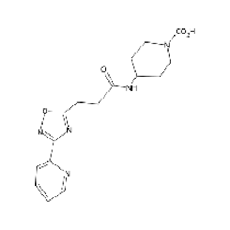 O=C(CCc1nc(-c2ccccn2)no1)NC1CCN(C(=O)O)CC1